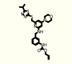 C=CCOC(=O)Nc1cccc(CNc2cc(N3CCOCC3)cc(CSc3nnc(C(C)C)s3)n2)c1